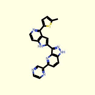 Cc1ccc(-c2nccc3[nH]c(-c4n[nH]c5ccc(-c6cnccn6)nc45)cc23)s1